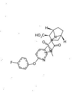 CN(C)C(=O)CN1[C@@H]2CC[C@H]1[C@H](C(=O)O)N(S(=O)(=O)c1ccc(Oc3ccc(F)cc3)nc1)C2